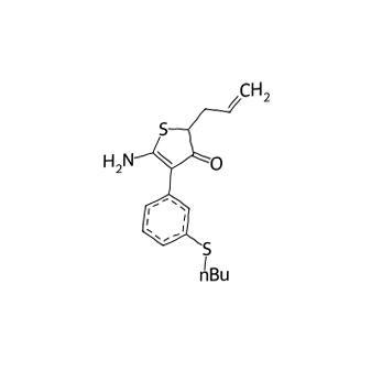 C=CCC1SC(N)=C(c2cccc(SCCCC)c2)C1=O